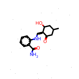 CC1CC(=O)/C(=C\Nc2ccccc2C(N)=O)C(O)C1